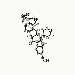 C#Cc1ccc2c(c1)[nH]c1c2c(=O)c2cc(CC(C)C)c(-c3cncc(S(=O)(=O)F)c3)cc2n1C1CCOCC1